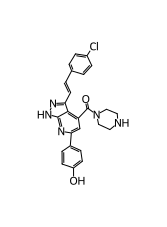 O=C(c1cc(-c2ccc(O)cc2)nc2[nH]nc(/C=C/c3ccc(Cl)cc3)c12)N1CCNCC1